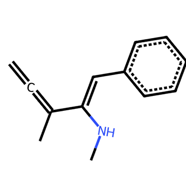 C=C=C(C)/C(=C/c1ccccc1)NC